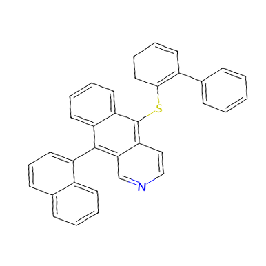 C1=CC(c2ccccc2)=C(Sc2c3ccccc3c(-c3cccc4ccccc34)c3cnccc23)CC1